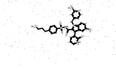 CCCCc1ccc(S(=O)(=O)NC(=O)c2c(-c3ccc[nH]c3=O)c3cc(Cl)ccc3n2Cc2ccnc(N)c2)cc1